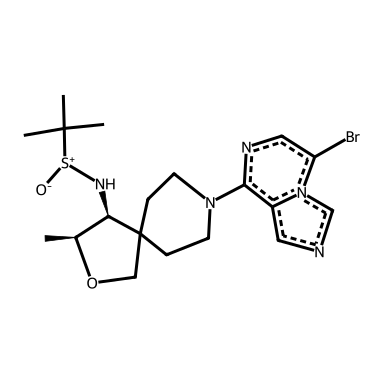 C[C@@H]1OCC2(CCN(c3ncc(Br)n4cncc34)CC2)[C@@H]1N[S+]([O-])C(C)(C)C